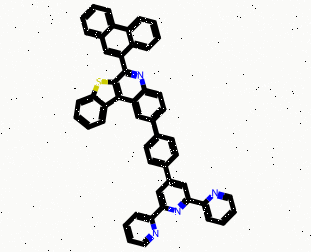 c1ccc(-c2cc(-c3ccc(-c4ccc5nc(-c6cc7ccccc7c7ccccc67)c6sc7ccccc7c6c5c4)cc3)cc(-c3ccccn3)n2)nc1